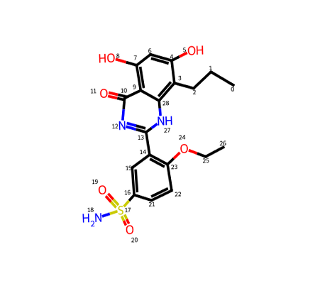 CCCc1c(O)cc(O)c2c(=O)nc(-c3cc(S(N)(=O)=O)ccc3OCC)[nH]c12